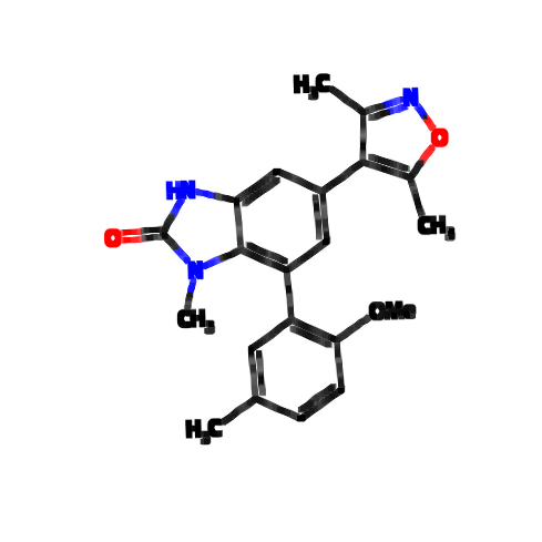 COc1ccc(C)cc1-c1cc(-c2c(C)noc2C)cc2[nH]c(=O)n(C)c12